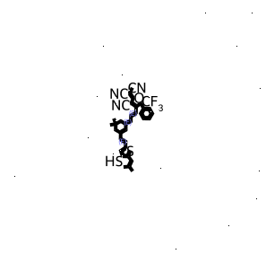 CC(C)=Cc1sc(/C=C/C2=CC(=C/C=C/C3=C(C#N)C(=C(C#N)C#N)OC3(c3ccccc3)C(F)(F)F)/CC(C)(C)C2)cc1S